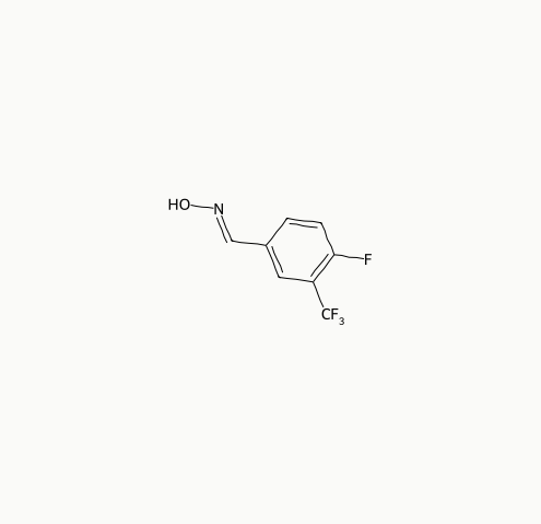 ON=Cc1ccc(F)c(C(F)(F)F)c1